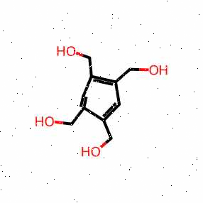 OCc1cc(CO)c(CO)cc1CO